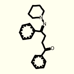 O=C(CCC(=NN1CCCCC1)c1ccccc1)c1ccccc1